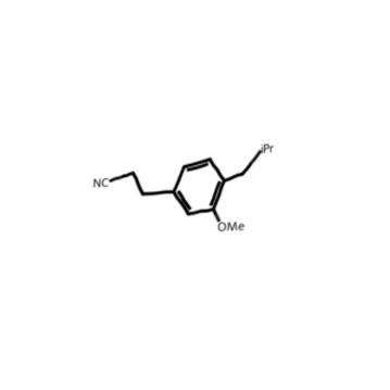 COc1cc(CCC#N)ccc1CC(C)C